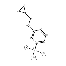 [CH3][Sn]([CH3])([CH3])[c]1cc(OCC2CC2)ccn1